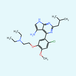 CCN(CC)CCOc1cc(-c2nc(CC(C)C)nc3[nH]cc(N)c23)c(Cl)cc1OC